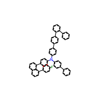 Fc1ccc(-c2cccc3cccc(-c4ccc(N(c5ccc(-c6ccccc6)cc5)c5ccc(-c6ccc(-c7ccccc7-c7ccccc7)cc6)cc5)cc4)c23)cc1